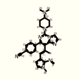 C=Nc1c(/C=C(\C)c2c(-c3ccc(C#N)cc3)nc(N3CCC(N(C)C)CC3)n3ccnc23)ccn1C